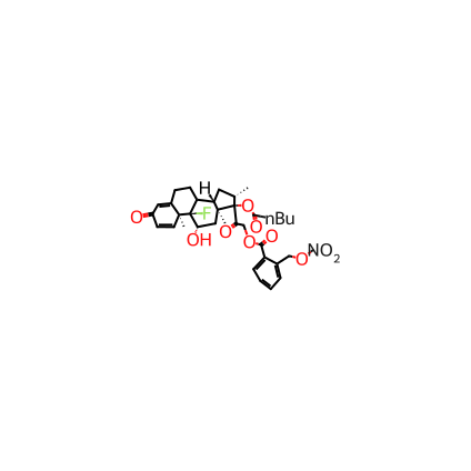 CCCCC(=O)O[C@]1(C(=O)COC(=O)c2ccccc2CO[N+](=O)[O-])[C@@H](C)C[C@H]2C3CCC4=CC(=O)C=C[C@]4(C)[C@@]3(F)[C@@H](O)C[C@@]21C